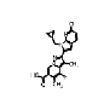 Cc1c(C(=O)O)cn2nc(-c3cc4ccc(Cl)nc4n3CC3CC3)c(C)c2c1F